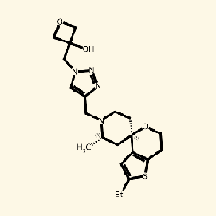 CCc1cc2c(s1)CCO[C@@]21CCN(Cc2cn(CC3(O)COC3)nn2)[C@@H](C)C1